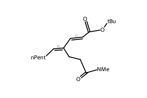 CCCCC/C=C(/C=C/C(=O)OC(C)(C)C)CCC(=O)NC